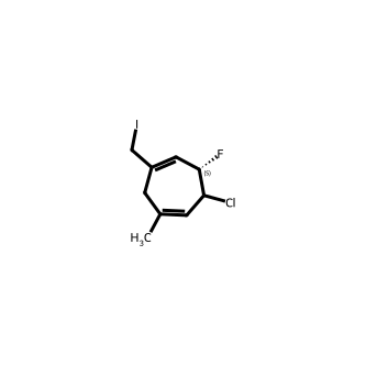 CC1=CC(Cl)[C@@H](F)C=C(CI)C1